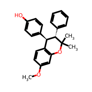 COc1ccc2c(c1)OC(C)(C)[C@@H](c1ccccc1)[C@@H]2c1ccc(O)cc1